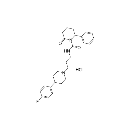 Cl.O=C1CCCC(c2ccccc2)N1C(=O)NCCCN1CCC(c2ccc(F)cc2)CC1